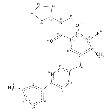 Cc1cc(-c2ccc(Cc3cc4c(c(F)c3C)OCN(C3CCCC3)C4=O)cn2)ccn1